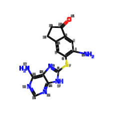 Nc1cc2c(cc1Sc1nc3c(N)ncnc3[nH]1)CCC2=O